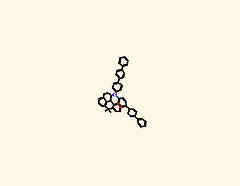 CC1(C)c2ccccc2-c2c(N(c3ccc(-c4ccc(-c5ccccc5)cc4)cc3)c3ccc(-c4ccc(-c5ccccc5)cc4)cc3)ccc3cccc1c23